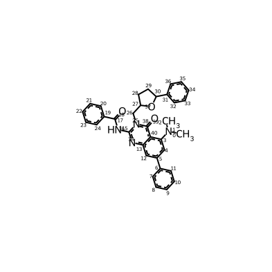 CN(C)c1cc(-c2ccccc2)cc2nc(NC(=O)c3ccccc3)n(CC3CCC(c4ccccc4)O3)c(=O)c12